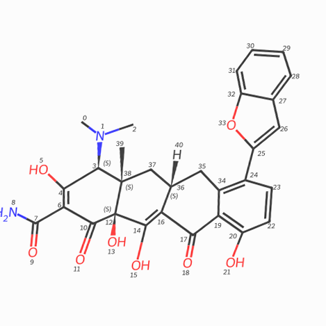 CN(C)[C@@H]1C(O)=C(C(N)=O)C(=O)[C@@]2(O)C(O)=C3C(=O)c4c(O)ccc(-c5cc6ccccc6o5)c4C[C@H]3C[C@@]12C